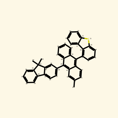 Cc1ccc2c(-c3cccc4sc5ccccc5c34)c3ccccc3c(-c3ccc4c(c3)C(C)(C)c3ccccc3-4)c2c1